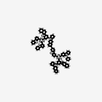 c1ccc(-n2c3ccccc3c3ccc(-c4nc(-c5ccc6oc7cc(-c8ccc9cc%10c(cc9c8)c8ccccc8n%10-c8cc(-c9nc(-c%10cccc%11c%10oc%10ccccc%10%11)nc(-c%10cccc%11c%10sc%10ccccc%10%11)n9)c9oc%10c%11ccccc%11ccc%10c9c8)ccc7c6c5)nc(-c5cc(-n6c7ccccc7c7cc8ccccc8cc76)cc6c5oc5cc7ccccc7cc56)n4)cc32)cc1